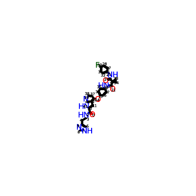 O=C(NCCc1c[nH]cn1)c1cc2c(Oc3ccc(NC(=O)C4(C(=O)Nc5ccc(F)cc5)CC4)cc3)ccnc2[nH]1